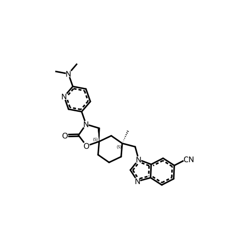 CN(C)c1ccc(N2C[C@@]3(CCC[C@](C)(Cn4cnc5ccc(C#N)cc54)C3)OC2=O)cn1